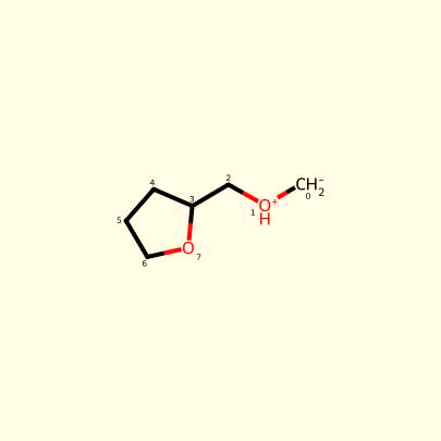 [CH2-][OH+]CC1CCCO1